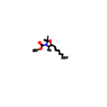 CCCCCCCCCCCCCC=CC1OC(C)(C)N(C(=O)OC(C)(C)C)C1C#N